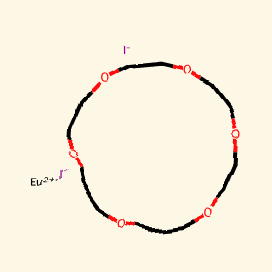 C1COCCOCCOCCOCCOCCO1.[Eu+2].[I-].[I-]